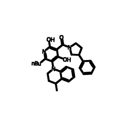 CCCCc1nc(O)c(C(=O)N2CCC(c3ccccc3)C2)c(O)c1N1CCC(C)c2ccccc21